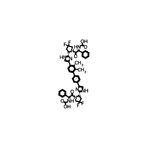 Cc1c(-c2ccc(-c3c[nH]c([C@@H]4CC(F)(F)CN4C(=O)[C@H](NC(=O)O)c4ccccc4)n3)cc2)ccc(-c2c[nH]c([C@@H]3CC(F)(F)CN3C(=O)[C@H](NC(=O)O)c3ccccc3)n2)c1C